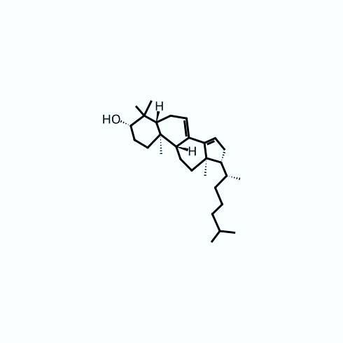 CC(C)CCC[C@@H](C)[C@H]1CC=C2C3=CC[C@H]4C(C)(C)[C@@H](O)CC[C@]4(C)[C@H]3CC[C@@]21C